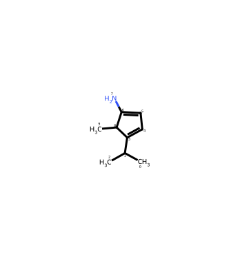 CC(C)C1=CC=C(N)C1C